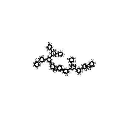 c1ccc(-c2cc(-c3cc(-c4ccc5oc6ccccc6c5c4)cc(-c4ccc5oc6cc(-c7cccc(-c8cc(-c9cccc(-c%10ccc%11c(c%10)oc%10ccccc%10%11)c9)nc(-c9ccccc9)n8)c7)ccc6c5c4)c3)nc(-c3ccccc3)n2)cc1